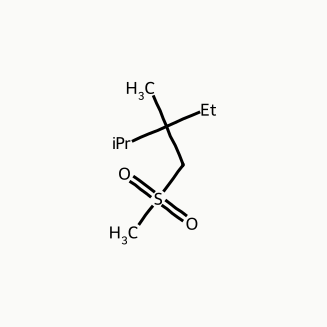 CCC(C)(CS(C)(=O)=O)C(C)C